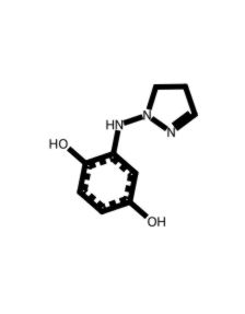 Oc1ccc(O)c(NN2CCC=N2)c1